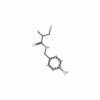 CC(C[O])C(=O)NCc1ccc(O)cc1